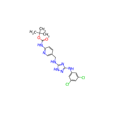 CC(C)(C)OC(=O)Nc1ccc(CNc2nc(Nc3cc(Cl)cc(Cl)c3)n[nH]2)cn1